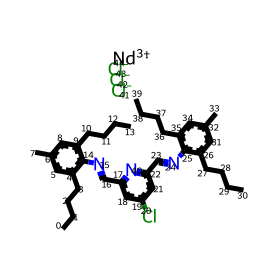 CCCCc1cc(C)cc(CCCC)c1N=Cc1cc(Cl)cc(C=Nc2c(CCCC)cc(C)cc2CCCC)n1.[Cl-].[Cl-].[Cl-].[Nd+3]